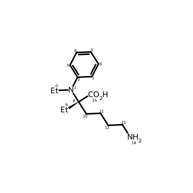 CCN(c1ccccc1)[C@@](CC)(CCCCN)C(=O)O